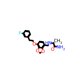 CC(NCc1ccc(OCCc2cccc(F)c2)c2c1OCO2)C(N)=O